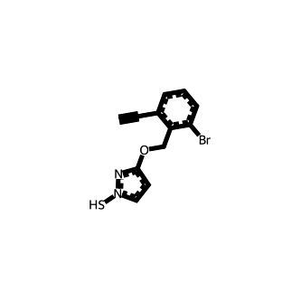 C#Cc1cccc(Br)c1COc1ccn(S)n1